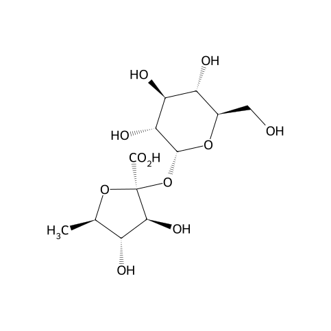 C[C@H]1O[C@](O[C@H]2O[C@H](CO)[C@@H](O)[C@H](O)[C@H]2O)(C(=O)O)[C@@H](O)[C@@H]1O